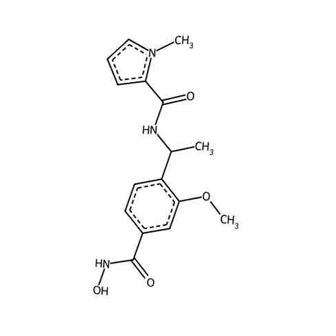 COc1cc(C(=O)NO)ccc1C(C)NC(=O)c1cccn1C